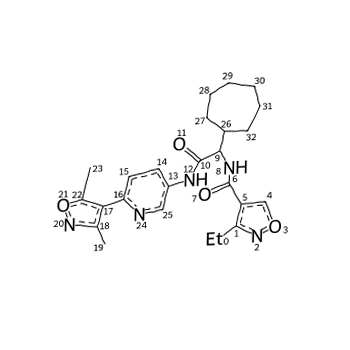 CCc1nocc1C(=O)NC(C(=O)Nc1ccc(-c2c(C)noc2C)nc1)C1CCCCCC1